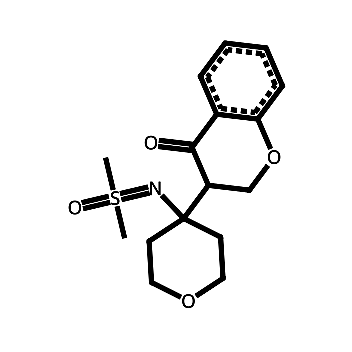 CS(C)(=O)=NC1(C2COc3ccccc3C2=O)CCOCC1